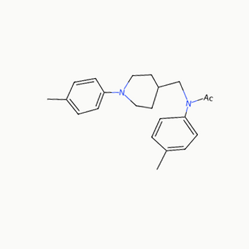 CC(=O)N(CC1CCN(c2ccc(C)cc2)CC1)c1ccc(C)cc1